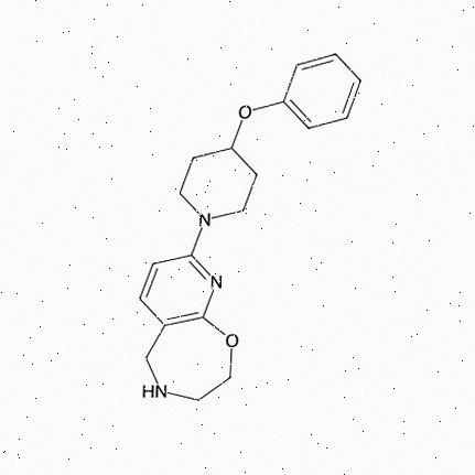 c1ccc(OC2CCN(c3ccc4c(n3)OCCNC4)CC2)cc1